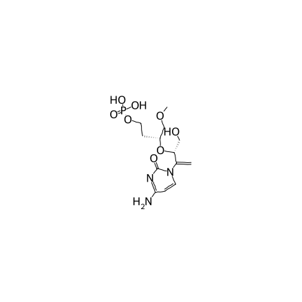 C=C([C@@H](CO)O[C@H](CCOP(=O)(O)O)COC)n1ccc(N)nc1=O